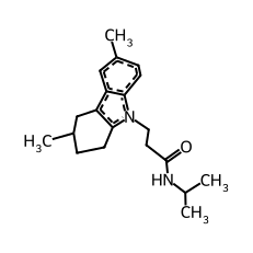 Cc1ccc2c(c1)c1c(n2CCC(=O)NC(C)C)CCC(C)C1